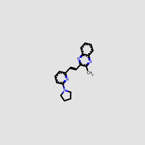 Cc1nc2ccccc2nc1C=Cc1cccc(N2CCCC2)n1